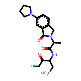 CC(C(=O)NC(CC(=O)O)C(=O)CF)N1Cc2ccc(N3CCCC3)cc2C1=O